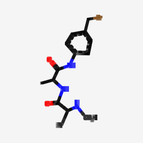 CC(NC(=O)C(NC(=O)O)C(C)C)C(=O)Nc1ccc(CBr)cc1